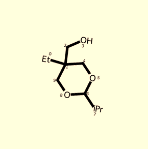 CCC1(CO)COC(C(C)C)OC1